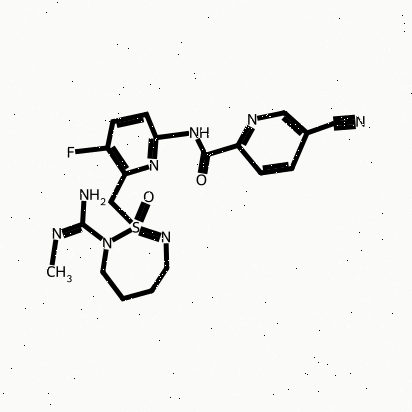 C/N=C(/N)N1CCCCN=S1(=O)Cc1nc(NC(=O)c2ccc(C#N)cn2)ccc1F